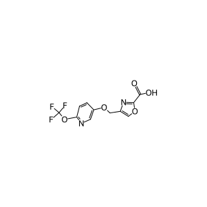 O=C(O)c1nc(COc2ccc(OC(F)(F)F)nc2)co1